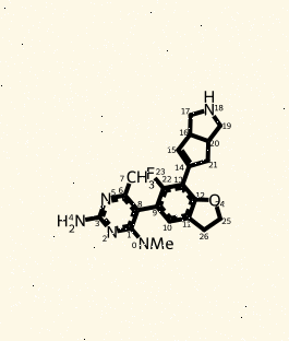 CNc1nc(N)nc(C)c1-c1cc2c(c(C3=CC4CNCC4C3)c1F)OCC2